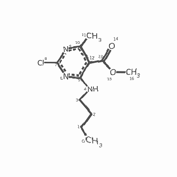 CCCCNc1nc(Cl)nc(C)c1C(=O)OC